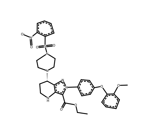 CCOC(=O)c1c2c(nn1-c1ccc(Oc3ccccc3OC)cc1)[C@@H](N1CCN(S(=O)(=O)c3ccccc3[N+](=O)[O-])CC1)CCN2